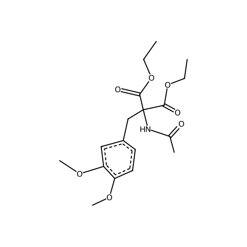 CCOC(=O)C(Cc1ccc(OC)c(OC)c1)(NC(C)=O)C(=O)OCC